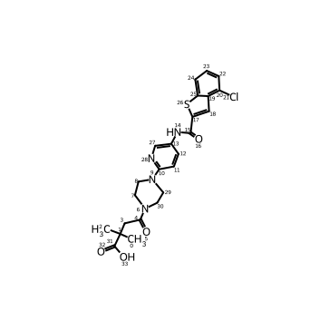 CC(C)(CC(=O)N1CCN(c2ccc(NC(=O)c3cc4c(Cl)cccc4s3)cn2)CC1)C(=O)O